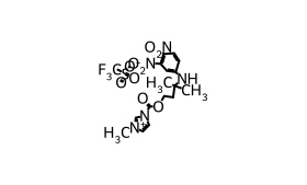 C[n+]1ccn(C(=O)OCCC(C)(C)Nc2ccc([N+](=O)[O-])c([N+](=O)[O-])c2)c1.O=S(=O)([O-])C(F)(F)F